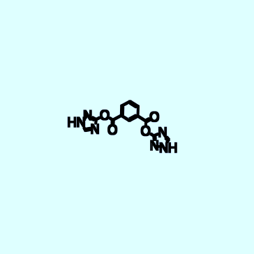 O=C(Oc1nc[nH]n1)c1cccc(C(=O)Oc2nc[nH]n2)c1